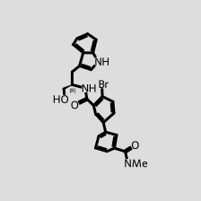 CNC(=O)c1cccc(-c2ccc(Br)c(C(=O)N[C@@H](CO)Cc3c[nH]c4ccccc34)c2)c1